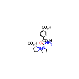 NC(=O)N1CCCC1.O=C(O)[C@@H]1CCCN1.O=C(O)c1ccc(C(=O)O)cc1